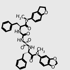 CN(C(=O)[C@H](Cc1ccccc1)NC(=O)NS(=O)(=O)N[C@@H](Cc1ccccc1)C(=O)N(C)c1ccc2c(c1)OCO2)c1ccc2c(c1)CCO2